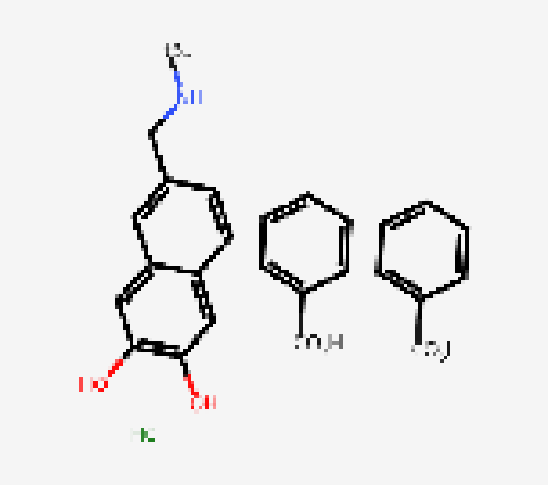 CC(C)(C)NCc1ccc2cc(O)c(O)cc2c1.Cl.O=C(O)c1ccccc1.O=C(O)c1ccccc1